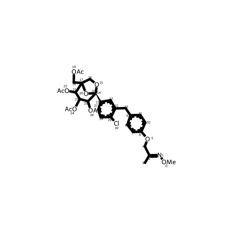 CON=C(C)COc1ccc(Cc2cc([C@]34OCC(COC(C)=O)(O3)C(OC(C)=O)C(OC(C)=O)C4OC(C)=O)ccc2Cl)cc1